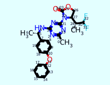 Cc1nc(N[C@@H](C)c2ccc(Oc3ccccc3)cc2)nc(N2C(=O)OCC2[C@@H](C)C(F)F)n1